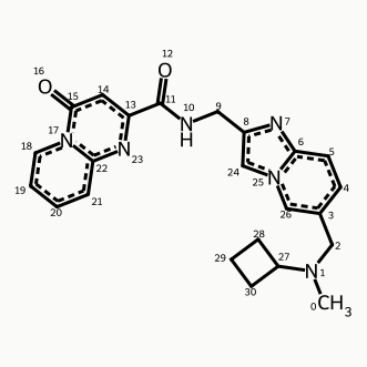 CN(Cc1ccc2nc(CNC(=O)c3cc(=O)n4ccccc4n3)cn2c1)C1CCC1